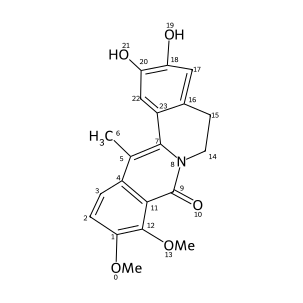 COc1ccc2c(C)c3n(c(=O)c2c1OC)CCc1cc(O)c(O)cc1-3